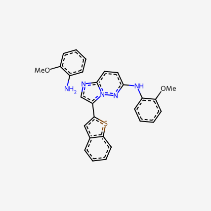 COc1ccccc1N.COc1ccccc1Nc1ccc2ncc(-c3cc4ccccc4s3)n2n1